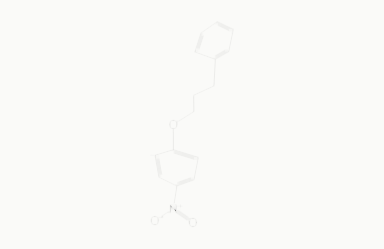 O=[N+]([O-])c1c[c]c(OCCCc2ccccc2)cc1